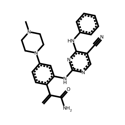 C=C(C(N)=O)c1ccc(N2CCN(C)CC2)cc1Nc1ncc(C#N)c(Nc2ccccc2)n1